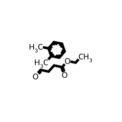 CCOC(=O)CCC=O.Cc1ccccc1C